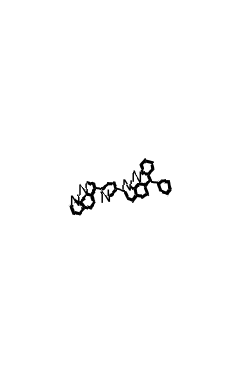 c1ccc(-c2c3ccccc3nc3c2ccc2ccc(-c4ccc(-c5ccnc6c5ccc5cccnc56)nc4)nc23)cc1